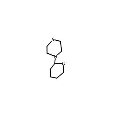 C1CCC(N2CCSCC2)OC1